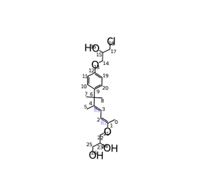 C/C(=C\C=C(/C)C(C)(C)c1ccc(OCC(O)CCl)cc1)OCC(O)CO